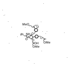 COCCCN1CCOc2ccc(CO[C@H]3CN(C(=O)[C@@H](N)CC(C)C)C[C@@H](OC[C@H](O)COC)[C@@H]3c3ccc(COC[C@@H](C)COC)cc3)cc21